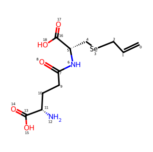 C=CC[Se]C[C@H](NC(=O)CC[C@H](N)C(=O)O)C(=O)O